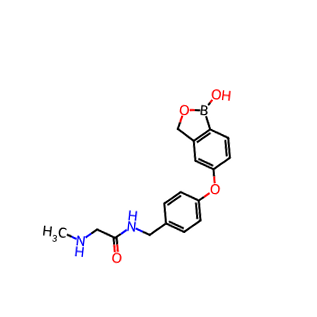 CNCC(=O)NCc1ccc(Oc2ccc3c(c2)COB3O)cc1